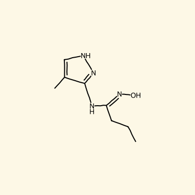 CCCC(=NO)Nc1n[nH]cc1C